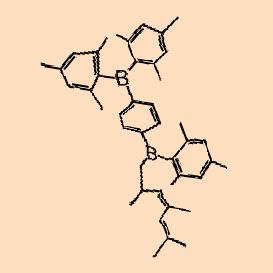 CC(C)=C/C(C)=C\C(C)CB(c1ccc(B(c2c(C)cc(C)cc2C)c2c(C)cc(C)cc2C)cc1)c1c(C)cc(C)cc1C